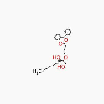 CCCCCCCC[C@H](O)[C@H](CO)OCCCCC(=O)OC(c1ccccc1)c1ccccc1